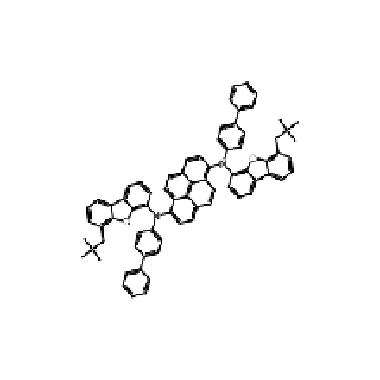 CC(C)(C)Cc1cccc2c1oc1c(N(c3ccc(-c4ccccc4)cc3)c3ccc4ccc5c(N(c6ccc(-c7ccccc7)cc6)c6cccc7c6oc6c(CC(C)(C)C)cccc67)ccc6ccc3c4c65)cccc12